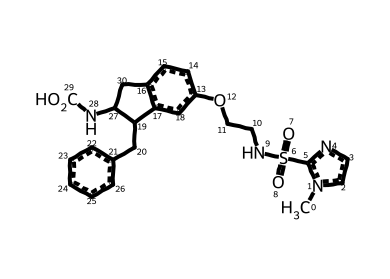 Cn1ccnc1S(=O)(=O)NCCOc1ccc2c(c1)C(Cc1ccccc1)C(NC(=O)O)C2